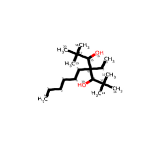 CCCCCCC(CC)(C(O)C(C)(C)C)C(O)C(C)(C)C